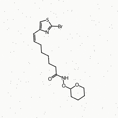 O=C(CCCCC/C=C\c1csc(Br)n1)NOC1CCCCO1